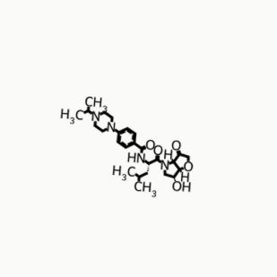 CC(C)C[C@H](NC(=O)c1ccc(N2CCN(C(C)C)CC2)cc1)C(=O)N1C[C@@H](O)[C@H]2OCC(=O)[C@H]21